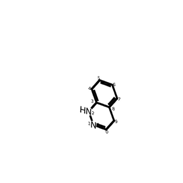 C1=[N+]Nc2ccccc2C1